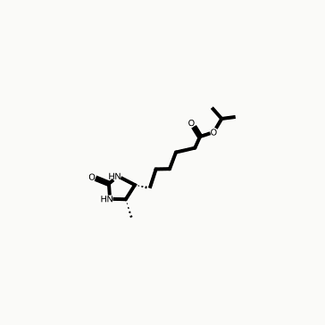 CC(C)OC(=O)CCCCC[C@H]1NC(=O)N[C@H]1C